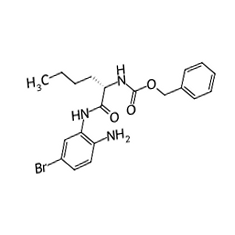 CCCC[C@H](NC(=O)OCc1ccccc1)C(=O)Nc1cc(Br)ccc1N